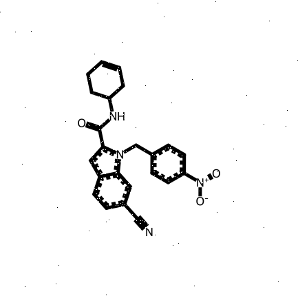 N#Cc1ccc2cc(C(=O)NC3CC=CCC3)n(Cc3ccc([N+](=O)[O-])cc3)c2c1